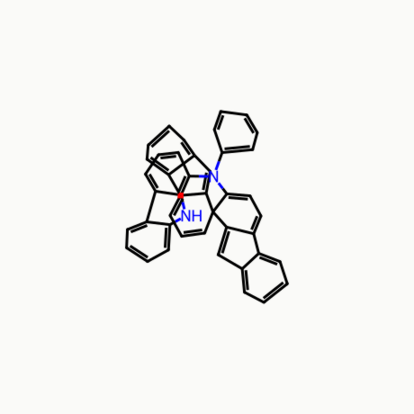 C1=CC2(C3=Cc4ccccc4C3=C1)C1=Cc3ccccc3C1=CC=C2N(c1ccccc1)c1cccc2c1[nH]c1ccccc12